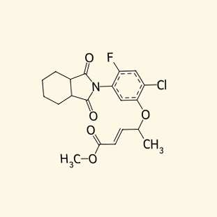 COC(=O)C=CC(C)Oc1cc(N2C(=O)C3CCCCC3C2=O)c(F)cc1Cl